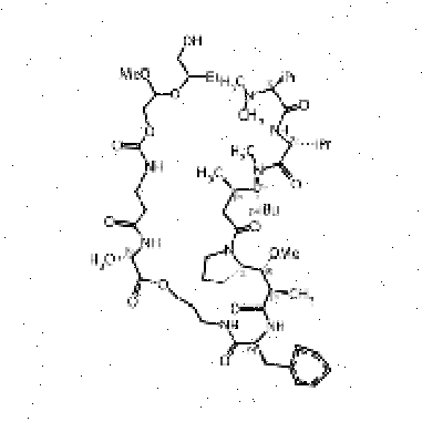 CCC(CO)OC(COC(=O)NCCC(=O)N[C@@H](C)C(=O)OCCCNC(=O)[C@H](Cc1ccccc1)NC(=O)[C@H](C)[C@@H](OC)[C@@H]1CCCN1C(=O)C[C@@H](C)[C@H]([C@@H](C)CC)N(C)C(=O)[C@H](NC(=O)[C@H](C(C)C)N(C)C)C(C)C)OC